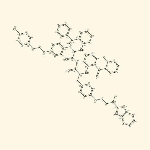 Cc1ccccc1C(=O)c1ccccc1NC(Cc1ccc(OCCN(C)c2nc3ccccc3o2)cc1)C(=O)OC(=O)C(Cc1ccc(OCCc2ccc(Cl)cc2)cc1)Nc1ccccc1C(=O)c1ccccc1